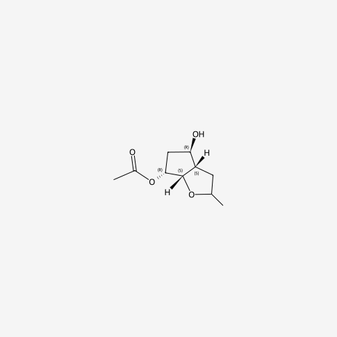 CC(=O)O[C@@H]1C[C@@H](O)[C@@H]2CC(C)O[C@@H]21